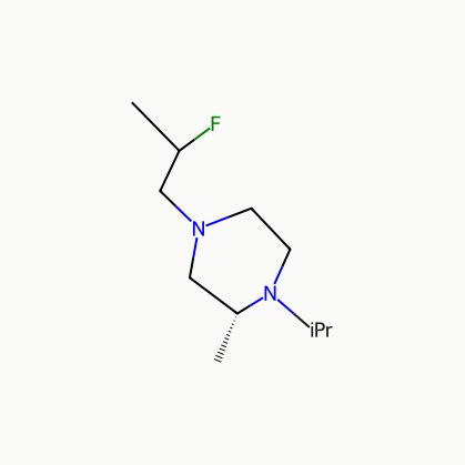 CC(F)CN1CCN(C(C)C)[C@H](C)C1